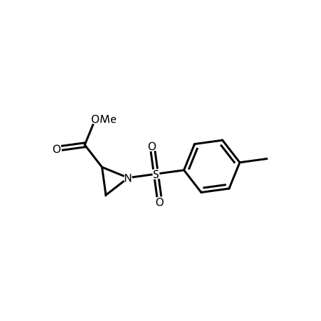 COC(=O)C1CN1S(=O)(=O)c1ccc(C)cc1